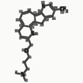 CN(C)CCCOCC1=CCC2=CC=CC3=C4SC=C(C(F)(F)F)C=C4CC3=C2S1